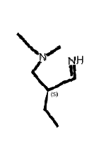 CC[C@H](C=N)CN(C)C